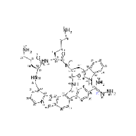 CN1C(=O)[C@H](CCCCN)NC(=O)[C@H](CCCN)NCc2cccnc2Sc2c(F)ccc(-c3ccc(/C(N)=N/N)cc3)c2CNC(=O)[C@@H]1Cc1c[nH]c2ccccc12